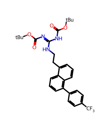 CC(C)(C)OC(=O)/N=C(\NCCc1cccc2c(-c3ccc(C(F)(F)F)cc3)cccc12)NC(=O)OC(C)(C)C